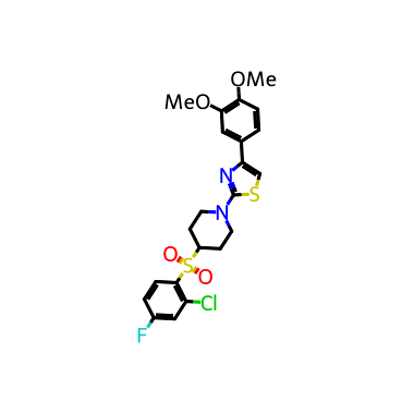 COc1ccc(-c2csc(N3CCC(S(=O)(=O)c4ccc(F)cc4Cl)CC3)n2)cc1OC